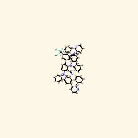 N#Cc1cc(-c2ccc(-n3c4ccccc4c4cc(-c5cccnc5-c5ccccc5)ccc43)c(C#N)c2-n2c3ccccc3c3cc(-c4cccnc4-c4ccccc4)ccc32)cc(C(F)(F)F)c1